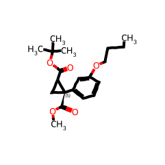 CCCCOc1cccc([C@]2(C(=O)OC)CC2C(=O)OC(C)(C)C)c1